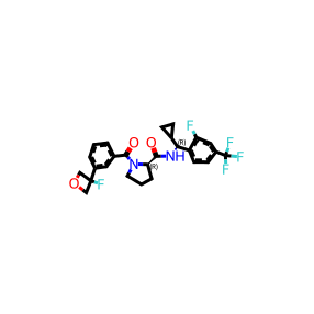 O=C(N[C@@H](c1ccc(C(F)(F)F)cc1F)C1CC1)[C@H]1CCCN1C(=O)c1cccc(C2(F)COC2)c1